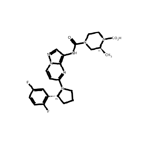 C[C@H]1CN(C(=O)Nc2cnn3ccc(N4CCC[C@@H]4c4cc(F)ccc4F)nc23)CCN1C(=O)O